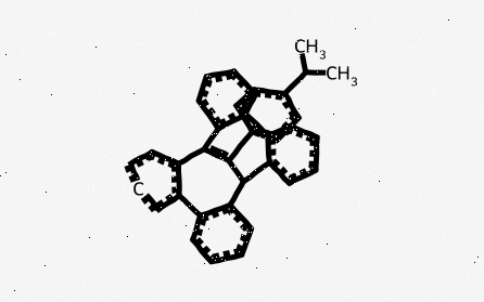 CC(C)c1ccc(C2=C3c4ccccc4-c4ccccc4[C]2c2ccccc2-c2ccccc23)cc1